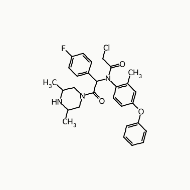 Cc1cc(Oc2ccccc2)ccc1N(C(=O)CCl)C(C(=O)N1CC(C)NC(C)C1)c1ccc(F)cc1